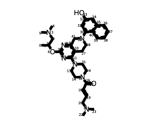 CC(CN(C)C)Oc1nc2c(c(N3CCN(C(=O)/C=C/CN(C)C)CC3)n1)CCN(c1cc(O)cc3ccccc13)C2